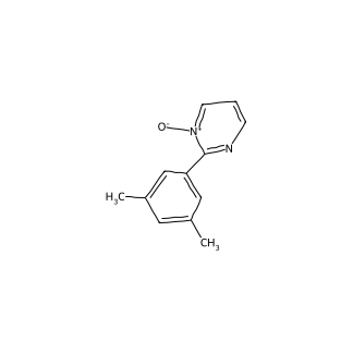 Cc1cc(C)cc(-c2nccc[n+]2[O-])c1